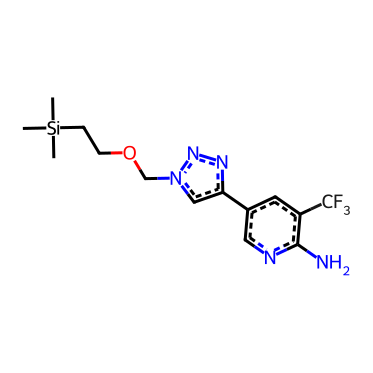 C[Si](C)(C)CCOCn1cc(-c2cnc(N)c(C(F)(F)F)c2)nn1